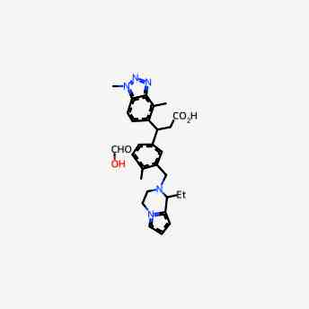 CCC1c2cccn2CCN1Cc1cc(C(CC(=O)O)c2ccc3c(nnn3C)c2C)ccc1C.O=CO